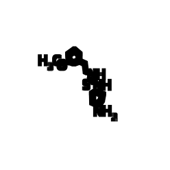 COc1cccc(CCNC(=S)Nc2ccc(N)cc2)c1